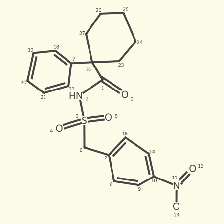 O=C(NS(=O)(=O)Cc1ccc([N+](=O)[O-])cc1)C1(c2ccccc2)CCCCC1